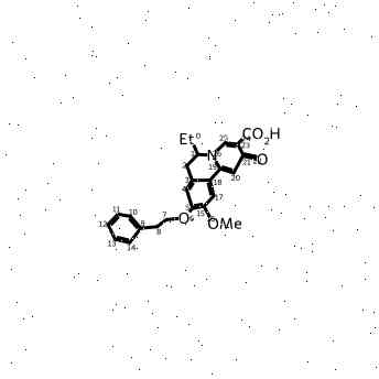 CCC1Cc2cc(OCCc3ccccc3)c(OC)cc2-c2cc(=O)c(C(=O)O)cn21